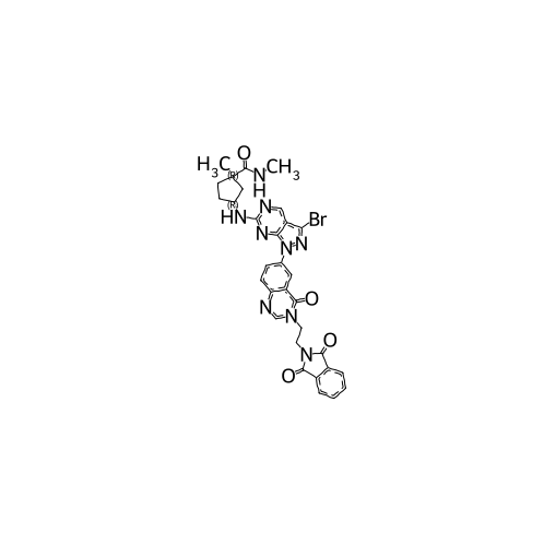 CNC(=O)[C@]1(C)CC[C@@H](Nc2ncc3c(Br)nn(-c4ccc5ncn(CCN6C(=O)c7ccccc7C6=O)c(=O)c5c4)c3n2)C1